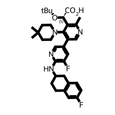 Cc1ncc(-c2cnc(NC3CCc4cc(F)ccc4C3)c(F)c2)c(N2CCC(C)(C)CC2)c1[C@H](OC(C)(C)C)C(=O)O